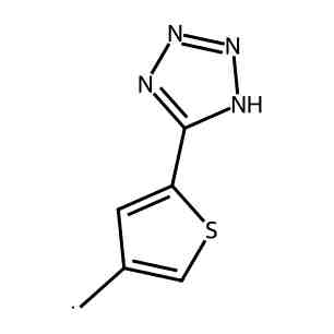 [CH2]c1csc(-c2nnn[nH]2)c1